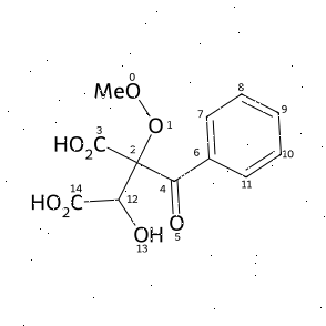 COOC(C(=O)O)(C(=O)c1ccccc1)C(O)C(=O)O